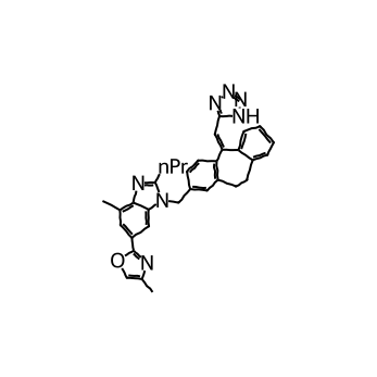 CCCc1nc2c(C)cc(-c3nc(C)co3)cc2n1Cc1ccc2c(c1)CCc1ccccc1C2=Cc1nnn[nH]1